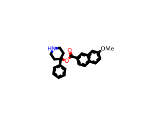 COc1ccc2ccc(C(=O)OC3(c4ccccc4)CCNCC3)cc2c1